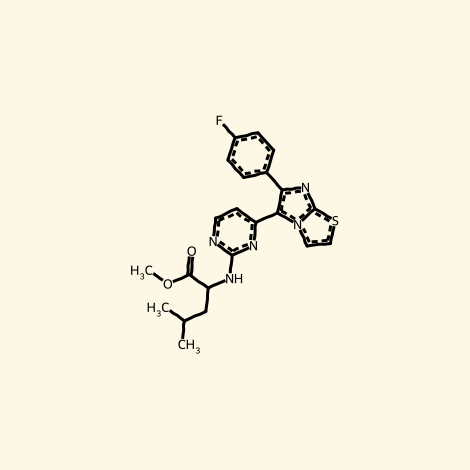 COC(=O)C(CC(C)C)Nc1nccc(-c2c(-c3ccc(F)cc3)nc3sccn23)n1